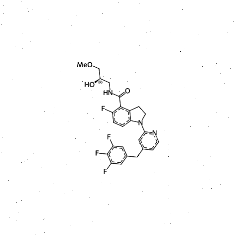 COC[C@H](O)CNC(=O)c1c(F)ccc2c1CCN2c1cc(Cc2cc(F)c(F)c(F)c2)ccn1